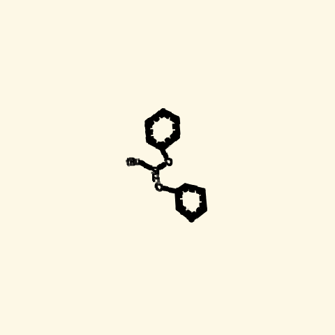 CC(C)(C)[SiH](Oc1ccccc1)Oc1ccccc1